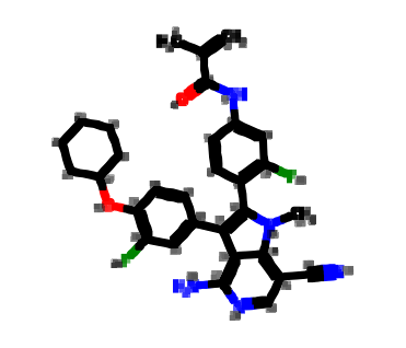 C=C(C)C(=O)Nc1ccc(-c2c(-c3ccc(OC4CCCCC4)c(F)c3)c3c(N)ncc(C#N)c3n2C)c(F)c1